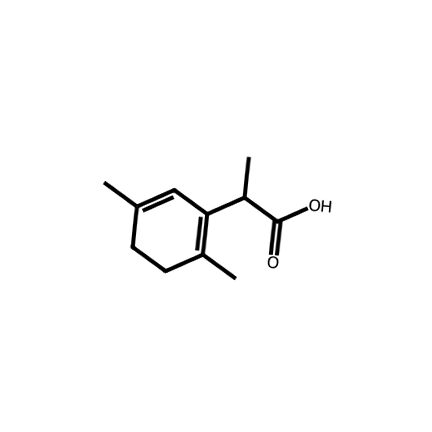 CC1=CC(C(C)C(=O)O)=C(C)CC1